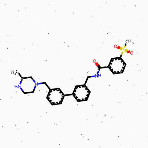 CC1CN(Cc2cccc(-c3cccc(CNC(=O)c4cccc(S(C)(=O)=O)c4)c3)c2)CCN1